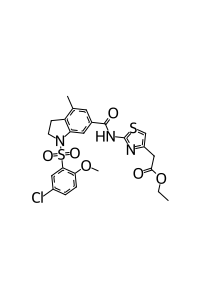 CCOC(=O)Cc1csc(NC(=O)c2cc(C)c3c(c2)N(S(=O)(=O)c2cc(Cl)ccc2OC)CC3)n1